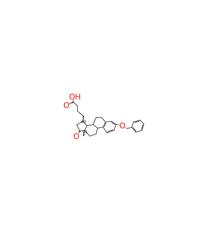 C[C@]12CCC3c4ccc(OCc5ccccc5)cc4CCC3C1[C@H](CCCC(=O)O)CC2=O